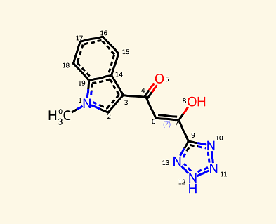 Cn1cc(C(=O)/C=C(\O)c2nn[nH]n2)c2ccccc21